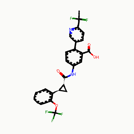 CC(F)(F)c1ccc(-c2ccc(NC(=O)[C@@H]3C[C@H]3c3ccccc3OC(F)(F)F)cc2C(=O)O)cn1